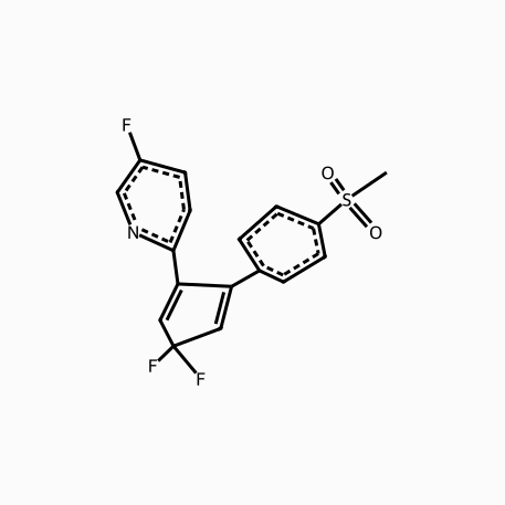 CS(=O)(=O)c1ccc(C2=CC(F)(F)C=C2c2ccc(F)cn2)cc1